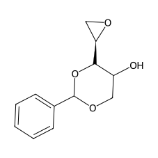 OC1COC(c2ccccc2)OC1[C@H]1CO1